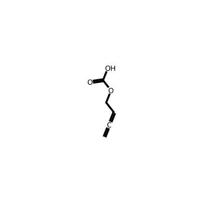 C=C=CCOC(=O)O